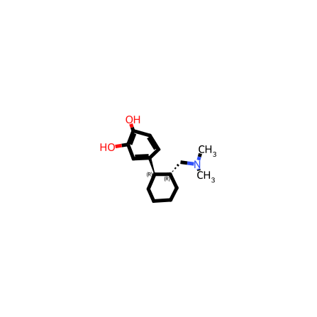 CN(C)C[C@@H]1CCCC[C@H]1c1ccc(O)c(O)c1